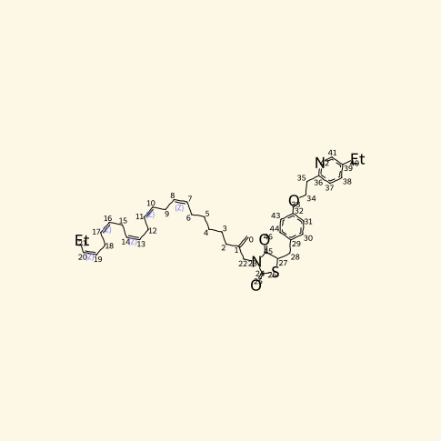 C=C(CCCCC/C=C\C/C=C\C/C=C\C/C=C\C/C=C\CC)CN1C(=O)SC(Cc2ccc(OCCc3ccc(CC)cn3)cc2)C1=O